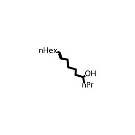 CCCCCCC=CCCCCC(O)CCC